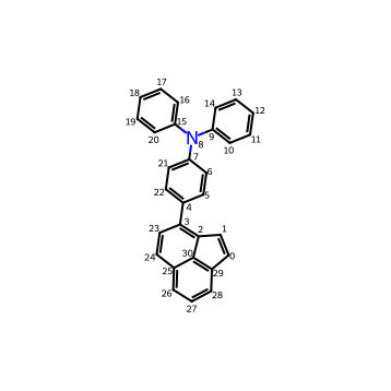 C1=Cc2c(-c3ccc(N(c4ccccc4)c4ccccc4)cc3)ccc3cccc1c23